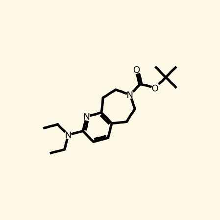 CCN(CC)c1ccc2c(n1)CCN(C(=O)OC(C)(C)C)CC2